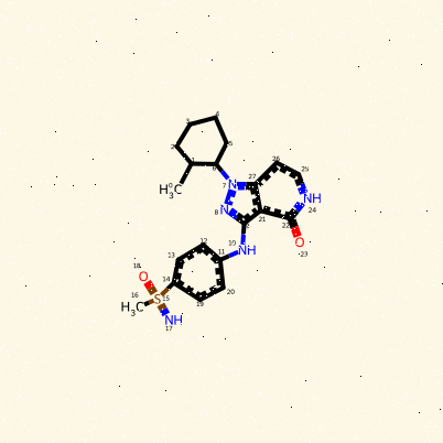 CC1CCCCC1n1nc(Nc2ccc(S(C)(=N)=O)cc2)c2c(=O)[nH]ccc21